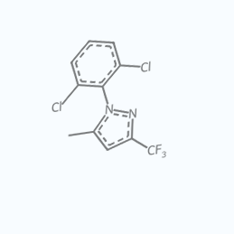 Cc1cc(C(F)(F)F)nn1-c1c(Cl)cccc1Cl